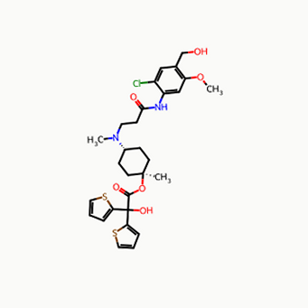 COc1cc(NC(=O)CCN(C)[C@H]2CC[C@](C)(OC(=O)C(O)(c3cccs3)c3cccs3)CC2)c(Cl)cc1CO